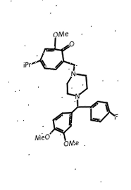 COc1ccc(C(c2ccc(F)cc2)N2CCN(Cc3ccc(C(C)C)cc(OC)c3=O)CC2)cc1OC